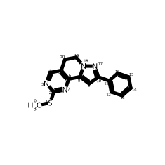 CSc1ncc2c(n1)-c1cc(-c3ccccc3)nn1CC2